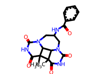 CC12C(=O)NC(=O)N3CC(NC(=O)c4ccccc4)CN4C(=O)NC(=O)C1(C)C4C32